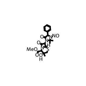 COC(=O)C1N2C(=O)C(N3C(=O)C(c4ccccc4)N(N=O)C3(C)C)[C@@H]2SCC1(C)O